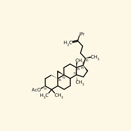 C=C(CC[C@@H](C)[C@H]1CC[C@@]2(C)C3CCC4C(C)(C)[C@@H](OC(C)=O)CC[C@@]45C[C@@]35CC[C@]12C)C(C)C